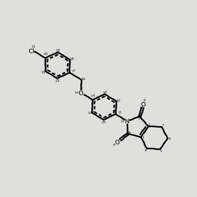 O=C1C2=C(CCCC2)C(=O)N1c1ccc(OCc2ccc(Cl)cc2)cc1